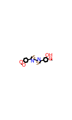 COc1ccc(-c2csc(-c3nc(-c4ccc5c(c4)OCO5)cs3)n2)cc1O